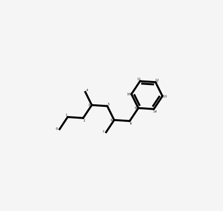 CCCC(C)CC(C)Cc1cc[c]cc1